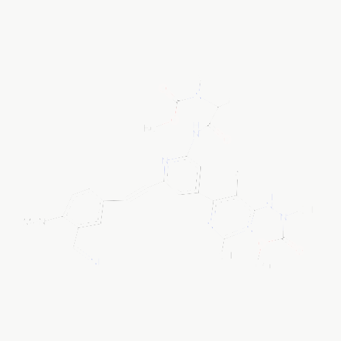 CNc1ccc(C#Cc2cc(-c3nc(C)nc(NN(C)C(=O)OC(C)(C)C)c3C(C)=O)cc(NC(=O)C(C)N(C)C(=O)OC(C)(C)C)n2)cc1C=N